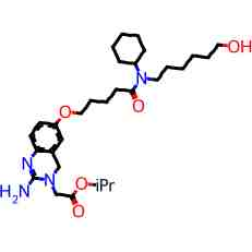 CC(C)OC(=O)CN1Cc2cc(OCCCCC(=O)N(CCCCCCO)C3CCCCC3)ccc2N=C1N